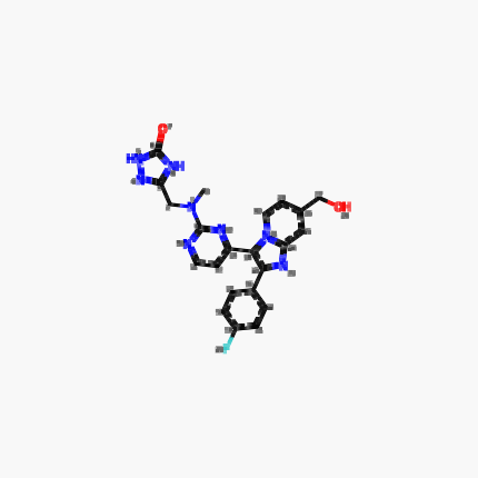 CN(Cc1n[nH]c(=O)[nH]1)c1nccc(-c2c(-c3ccc(F)cc3)nc3cc(CO)ccn23)n1